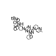 Cc1ccc2c(n1)CCCN2c1nn(C2CCCCO2)c2nc(N3CCC4(CC3)CO[C@@H](C)[C@H]4NC(=O)OC(C)(C)C)cnc12